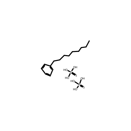 CCCCCCCCCc1ccccc1.OP(O)(O)=S.OP(O)(O)=S